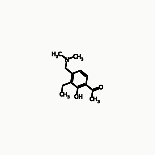 CCc1c(CN(C)C)ccc(C(C)=O)c1O